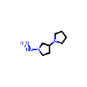 NNN1CCC(N2CCCC2)C1